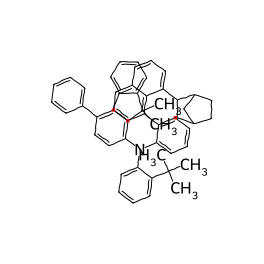 CC(C)(C)c1ccccc1N(c1ccccc1-c1cccc2cccc(C3CC4CCC3C4)c12)c1ccc(-c2ccccc2)c2c1C(C)(C)c1ccccc1-2